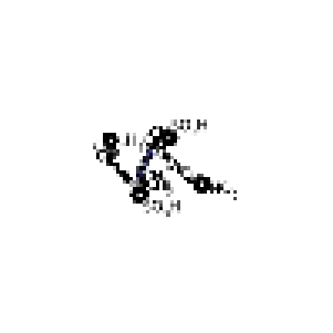 CC1(C)C(/C=C/C=C/C=C2/N(CCCCCC(=O)ON3C(=O)CCC3=O)c3ccc(S(=O)(=O)O)cc3C2(C)C)=[N+](CCOCCOCc2ccc([N+](=O)[O-])cc2)c2ccc(S(=O)(=O)O)cc21